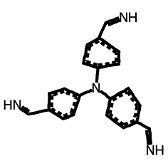 N=Cc1ccc(N(c2ccc(C=N)cc2)c2ccc(C=N)cc2)cc1